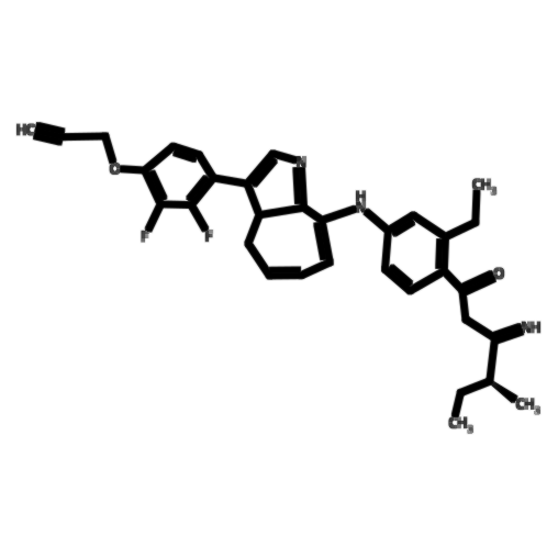 C#CCOc1ccc(C2=CN=C3C(Nc4ccc(C(=O)CC(=N)[C@@H](C)CC)c(CC)c4)=CC=CCC23)c(F)c1F